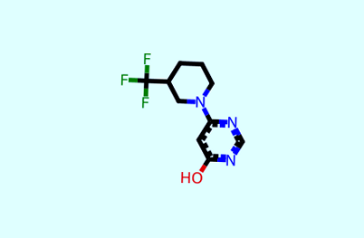 Oc1cc(N2CCCC(C(F)(F)F)C2)ncn1